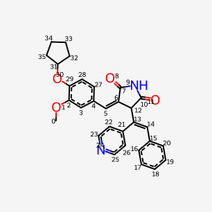 COc1cc(C=C2C(=O)NC(=O)C2C(=Cc2ccccc2)c2ccncc2)ccc1OC1CCCC1